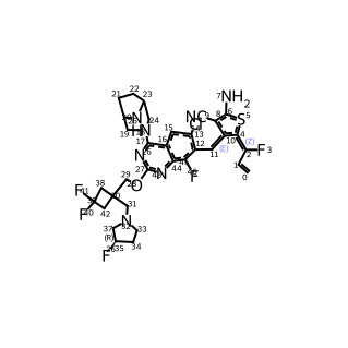 C=C/C(F)=c1/sc(N)c(C#N)/c1=C\c1c(Cl)cc2c(N3CC4CCC(C3)N4)nc(OCC3(CN4CC[C@@H](F)C4)CC(F)(F)C3)nc2c1F